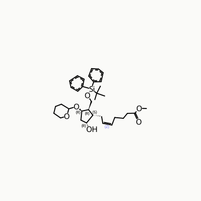 COC(=O)CCC/C=C\C[C@H]1[C@H](CO[Si](c2ccccc2)(c2ccccc2)C(C)(C)C)[C@H](OC2CCCCO2)C[C@H]1O